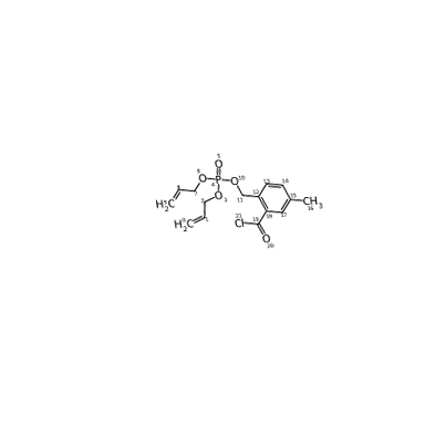 C=CCOP(=O)(OCC=C)OCc1ccc(C)cc1C(=O)Cl